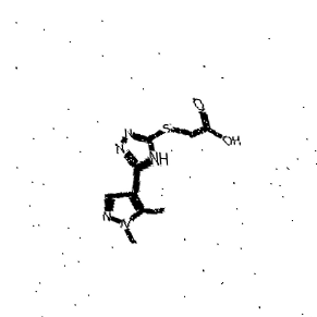 Cc1c(-c2nnc(SCC(=O)O)[nH]2)cnn1C